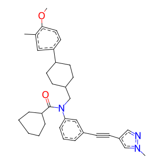 COc1ccc(C2CCC(CN(C(=O)C3CCCCC3)c3cccc(C#Cc4cnn(C)c4)c3)CC2)cc1C